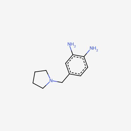 Nc1ccc(CN2CCCC2)cc1N